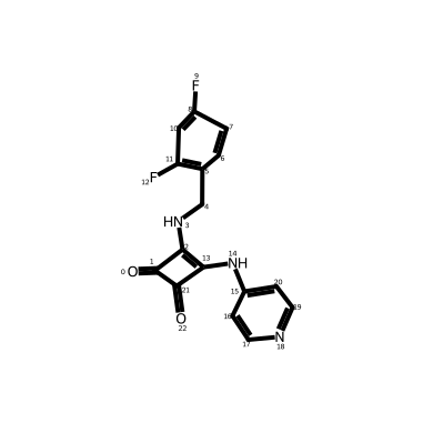 O=c1c(NCc2ccc(F)cc2F)c(Nc2ccncc2)c1=O